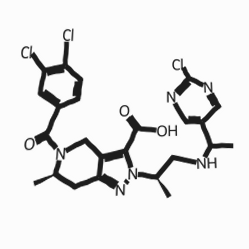 CC(NC[C@@H](C)n1nc2c(c1C(=O)O)CN(C(=O)c1ccc(Cl)c(Cl)c1)[C@H](C)C2)c1cnc(Cl)nc1